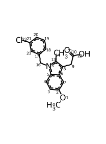 COc1ccc2c(c1)c(CC(=O)O)c(C)n2Cc1cccc(Cl)c1